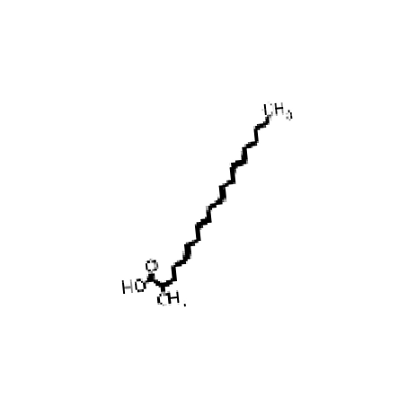 CCCCCC=CCC=CCC=CCC=CCCC(C)C(=O)O